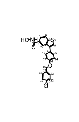 O=C(NO)c1ccc2scc(-c3ccc(OCc4ccc(Cl)cc4)cc3)c2c1